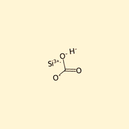 O=C([O-])[O-].[H-].[Si+3]